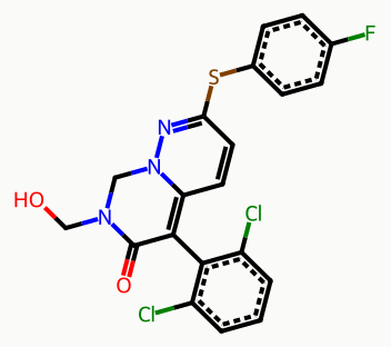 O=C1C(c2c(Cl)cccc2Cl)=C2C=CC(Sc3ccc(F)cc3)=NN2CN1CO